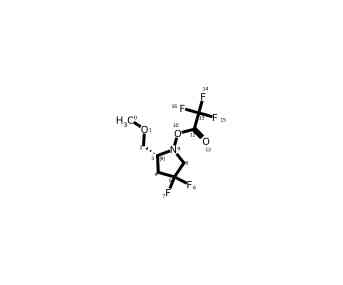 COC[C@H]1CC(F)(F)CN1OC(=O)C(F)(F)F